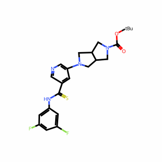 CC(C)(C)OC(=O)N1CC2CN(c3cncc(C(=S)Nc4cc(F)cc(F)c4)c3)CC2C1